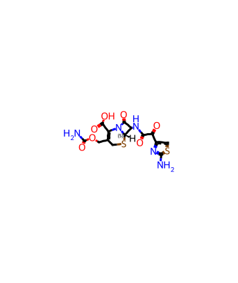 NC(=O)OCC1=C(C(=O)O)N2C(=O)C(NC(=O)C(=O)c3csc(N)n3)[C@@H]2SC1